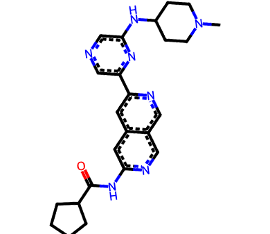 CN1CCC(Nc2cncc(-c3cc4cc(NC(=O)C5CCCC5)ncc4cn3)n2)CC1